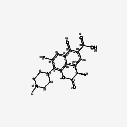 C[C@H]1C(=O)Oc2c(N3CCN(C)CC3)c(F)cc3c(=O)c(C(=O)O)cn1c23